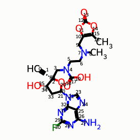 C#C[C@]1(CN(CCN(C)Cc2oc(=O)oc2C)C(=O)O)O[C@@H](n2cnc3c(N)nc(F)nc32)C[C@@H]1O